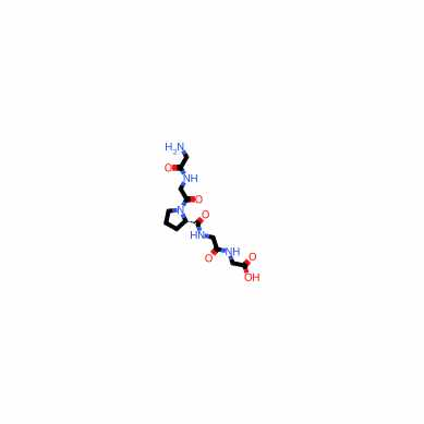 NCC(=O)NCC(=O)N1CCC[C@H]1C(=O)NCC(=O)NCC(=O)O